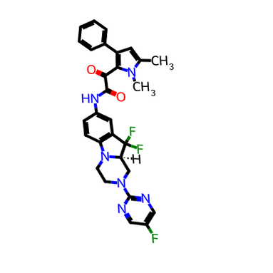 Cc1cc(-c2ccccc2)c(C(=O)C(=O)Nc2ccc3c(c2)C(F)(F)[C@H]2CN(c4ncc(F)cn4)CCN32)n1C